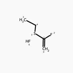 C=C(F)SCC.F